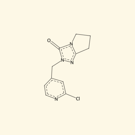 O=c1n(Cc2ccnc(Cl)c2)nc2n1CCC2